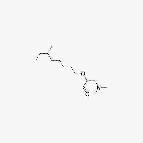 CC[C@H](C)CCCCCOC(C=O)=CN(C)C